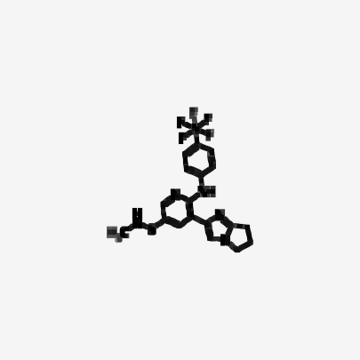 CNSc1cnc(Nc2ccc(S(F)(F)(F)(F)F)cc2)c(-c2cn3c(n2)CCC3)c1